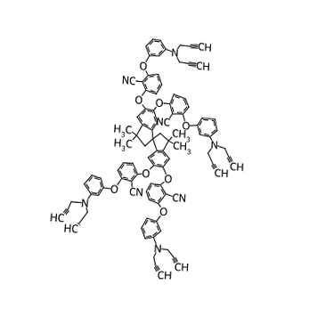 C#CCN(CC#C)c1cccc(Oc2cccc(Oc3cc4c(cc3Oc3cccc(Oc5cccc(N(CC#C)CC#C)c5)c3C#N)C3(CC4(C)C)CC(C)(C)c4cc(Oc5cccc(Oc6cccc(N(CC#C)CC#C)c6)c5C#N)c(Oc5cccc(Oc6cccc(N(CC#C)CC#C)c6)c5C#N)cc43)c2C#N)c1